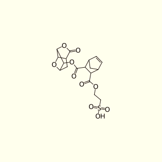 O=C1OC2C(OC(=O)C3C4C=CC(C4)C3C(=O)OCCS(=O)(=O)O)C3CC1C2O3